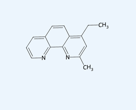 CCc1cc(C)nc2c1ccc1cccnc12